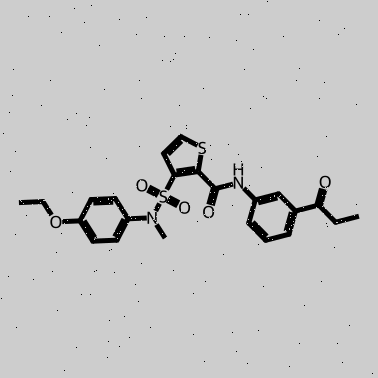 CCOc1ccc(N(C)S(=O)(=O)c2ccsc2C(=O)Nc2cccc(C(=O)CC)c2)cc1